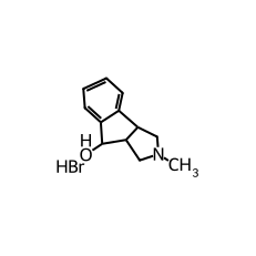 Br.CN1CC2c3ccccc3C(O)C2C1